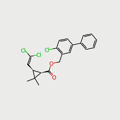 CC1(C)[C@H](C(=O)OCc2cc(-c3ccccc3)ccc2Cl)[C@@H]1C=C(Cl)Cl